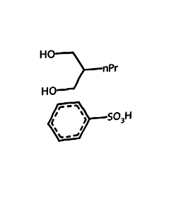 CCCC(CO)CO.O=S(=O)(O)c1ccccc1